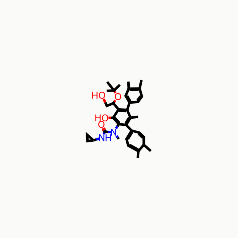 CC1=CC=C(c2c(C)c(-c3ccc(C)c(C)c3)c(C(CO)OC(C)(C)C)c(O)c2N(C)C(=O)NC2CC2)C=CC1C